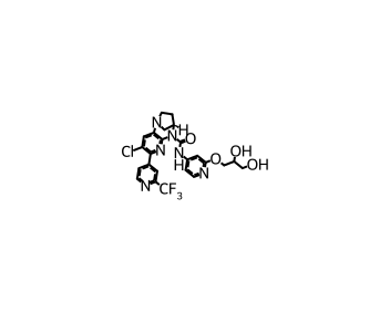 O=C(Nc1ccnc(OCC(O)CO)c1)N1c2nc(-c3ccnc(C(F)(F)F)c3)c(Cl)cc2N2CC[C@H]1C2